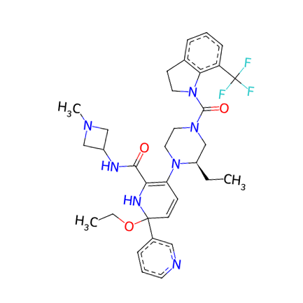 CCOC1(c2cccnc2)C=CC(N2CCN(C(=O)N3CCc4cccc(C(F)(F)F)c43)C[C@H]2CC)=C(C(=O)NC2CN(C)C2)N1